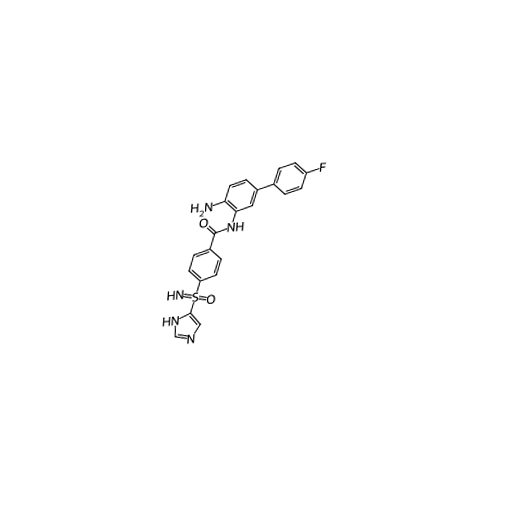 N=S(=O)(c1ccc(C(=O)Nc2cc(-c3ccc(F)cc3)ccc2N)cc1)c1cnc[nH]1